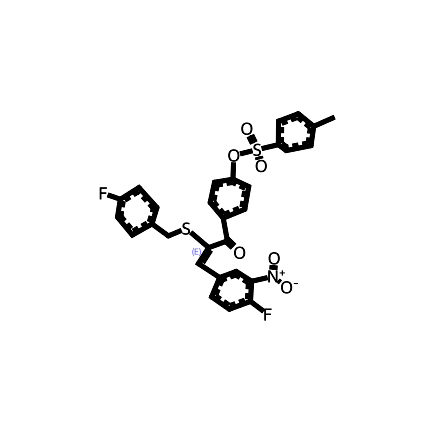 Cc1ccc(S(=O)(=O)Oc2ccc(C(=O)/C(=C\c3ccc(F)c([N+](=O)[O-])c3)SCc3ccc(F)cc3)cc2)cc1